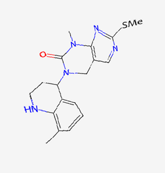 CSc1ncc2c(n1)N(C)C(=O)N(C1CCNc3c(C)cccc31)C2